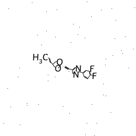 CC=C[C@H]1CO[C@H](C#Cc2cnc(-c3ccc(F)c(F)c3)nc2)OC1